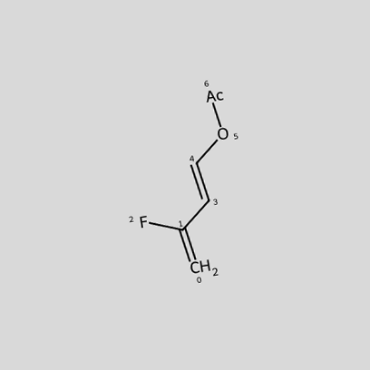 C=C(F)C=COC(C)=O